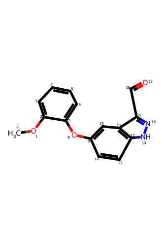 COc1ccccc1Oc1ccc2[nH]nc(C=O)c2c1